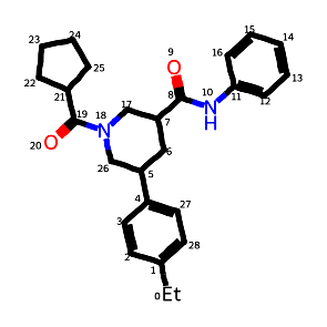 CCc1ccc(C2CC(C(=O)Nc3ccccc3)CN(C(=O)C3CCCC3)C2)cc1